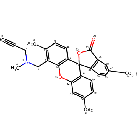 C#CCN(C)Cc1c(OC(C)=O)ccc2c1Oc1cc(OC(C)=O)ccc1C21OC(=O)c2cc(C(=O)O)ccc21